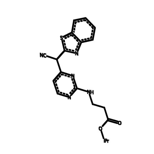 CC(C)OC(=O)CCNc1nccc(C(C#N)c2nc3ccccc3s2)n1